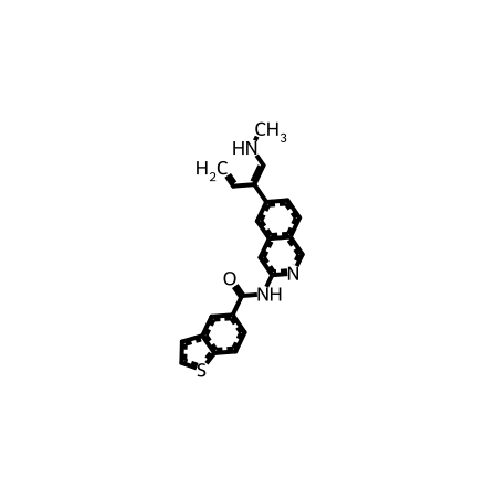 C=C/C(=C\NC)c1ccc2cnc(NC(=O)c3ccc4sccc4c3)cc2c1